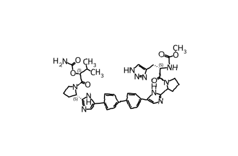 COC(=O)N[C@@H](Cc1c[nH]nn1)C(=O)N1CCCC1c1ncc(-c2ccc(-c3ccc(-c4cnc([C@@H]5CCCN5C(=O)[C@@H](OC(N)=O)C(C)C)[nH]4)cc3)cc2)[nH]1